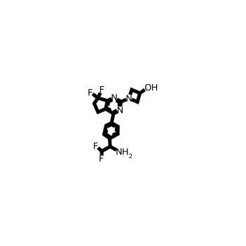 NC(c1ccc(-c2nc(N3CC(O)C3)nc3c2CCC3(F)F)cc1)C(F)F